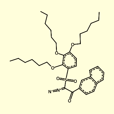 CCCCCCOc1ccc(S(=O)(=O)C(=[N+]=[N-])C(=O)c2ccc3ccccc3c2)c(OCCCCCC)c1OCCCCCC